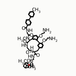 Cc1ccc(-c2ccc(C(=O)NCC(=O)N(C)C3C(=O)NCC(=O)NC(C(=O)NCB4O[C@@H]5CC6CC(C6(C)C)[C@]5(C)O4)Cc4ccc(OCCN)c(c4)-c4cc3ccc4OCCN)cc2)cc1